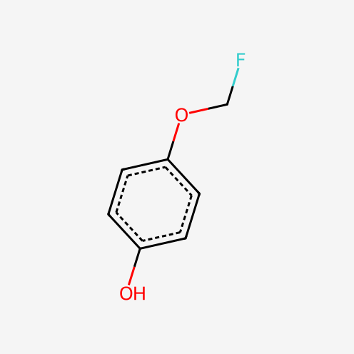 Oc1ccc(OCF)cc1